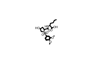 CCCCC(NC(=O)C1C[C@H](O)CN1S(=O)(=O)c1ccc(OC)c(OC)c1)C(=O)O